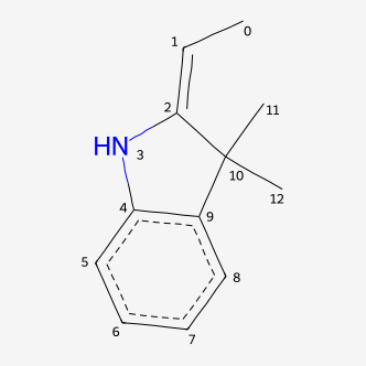 C/C=C1/Nc2ccccc2C1(C)C